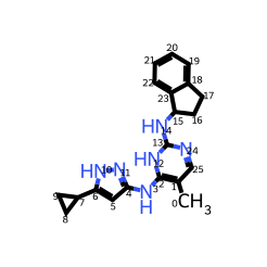 CC1=C(Nc2cc(C3CC3)[nH]n2)NC(NC2CCc3ccccc32)N=C1